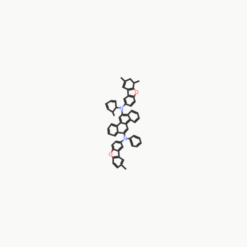 CC1=Cc2c(oc3ccc(N(c4cc5c6ccccc6c(N(c6ccccc6)c6ccc7oc8ccc(C)cc8c7c6)cc5c5ccccc45)C4C=CC=CC4C)cc23)C(C)C1